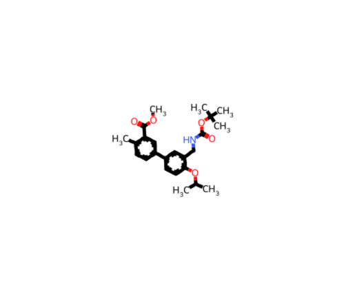 COC(=O)c1cc(-c2ccc(OC(C)C)c(CNC(=O)OC(C)(C)C)c2)ccc1C